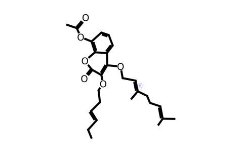 CCC=CCCOc1c(OC/C=C(\C)CCC=C(C)C)c2cccc(OC(C)=O)c2oc1=O